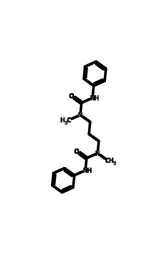 CN(CCCN(C)C(=O)Nc1ccccc1)C(=O)Nc1ccccc1